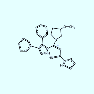 COC1CCN(/C(=N/C(=N)c2ncc[nH]2)c2[nH]cc(-c3ccccc3)c2-c2ccccc2)C1